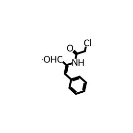 O=[C]C(=Cc1ccccc1)NC(=O)CCl